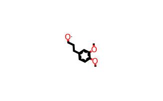 COc1ccc(CCC[O])cc1OC